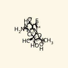 C#CC1(Cl)C(CO)[C@@H]([C@H](C)O)O[C@H]1n1cc(F)c2c(=O)[nH]c(N)nc21